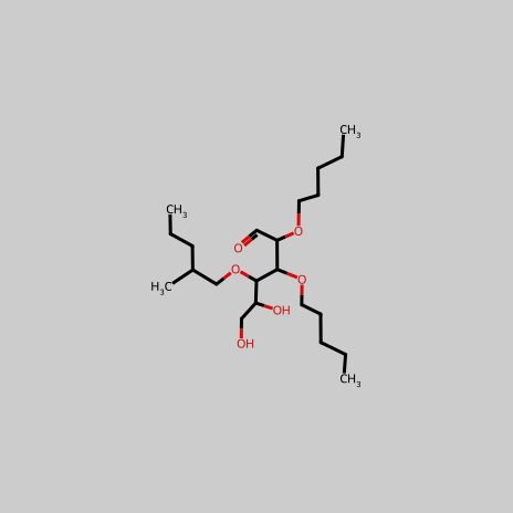 CCCCCOC(C=O)C(OCCCCC)C(OCC(C)CCC)C(O)CO